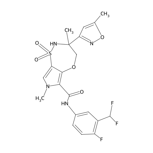 Cc1cc(C2(C)COc3c(cn(C)c3C(=O)Nc3ccc(F)c(C(F)F)c3)S(=O)(=O)N2)no1